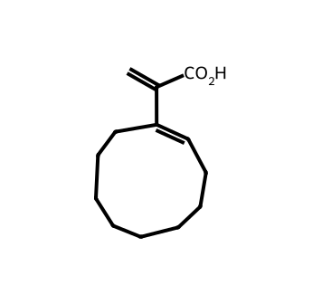 C=C(C(=O)O)C1=CCCCCCCCC1